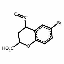 O=[S+]C1CC(C(=O)O)Oc2ccc(Br)cc21